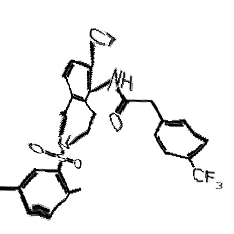 Cc1ccc(F)cc1S(=O)(=O)N1CCc2c(ccc(Cl)c2NC(=O)Cc2ccc(C(F)(F)F)cc2)C1